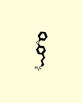 C=CC[CH]c1ccc(Oc2ccccc2)cc1